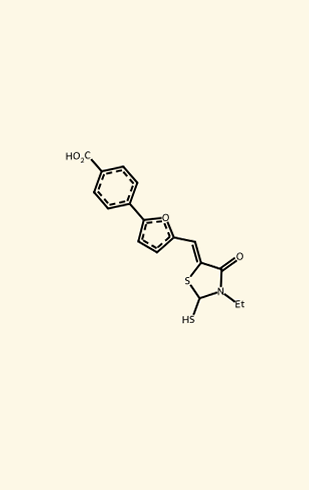 CCN1C(=O)/C(=C/c2ccc(-c3ccc(C(=O)O)cc3)o2)SC1S